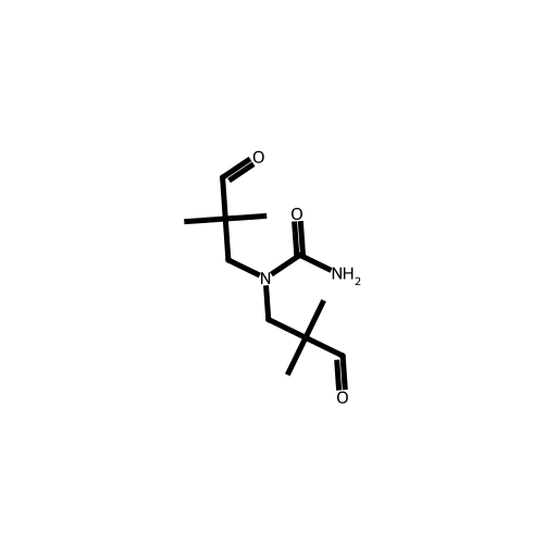 CC(C)(C=O)CN(CC(C)(C)C=O)C(N)=O